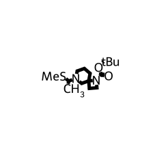 CSC(C)N1CCCC2(CCN2C(=O)OC(C)(C)C)C1